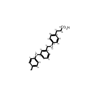 Cc1ccc(Oc2cccc(COc3ccc(CCC(=O)O)cc3)c2)cc1